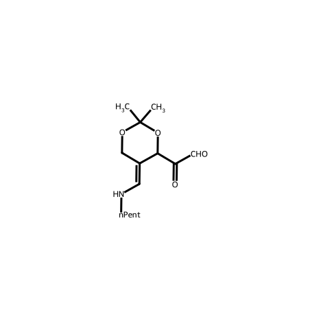 CCCCCNC=C1COC(C)(C)OC1C(=O)C=O